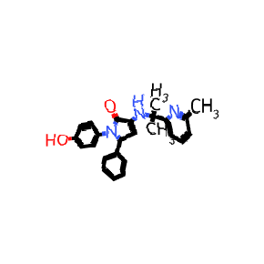 Cc1cccc(C(C)(C)NC2=CC(c3ccccc3)N(c3ccc(O)cc3)C2=O)n1